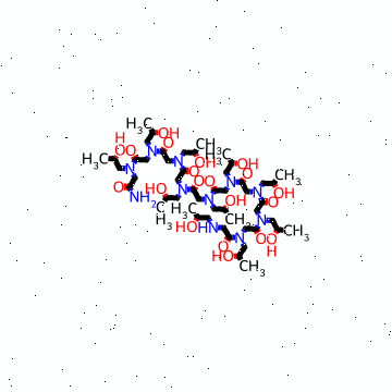 CC(O)CNCC(=O)N(CC(=O)N(CC(=O)N(CC(=O)N(CC(=O)N(CC(=O)N(CC(=O)N(CC(=O)N(CC(=O)N(CC(N)=O)CC(C)O)CC(C)O)CC(C)O)CC(C)O)CC(C)O)CC(C)O)CC(C)O)CC(C)O)CC(C)O